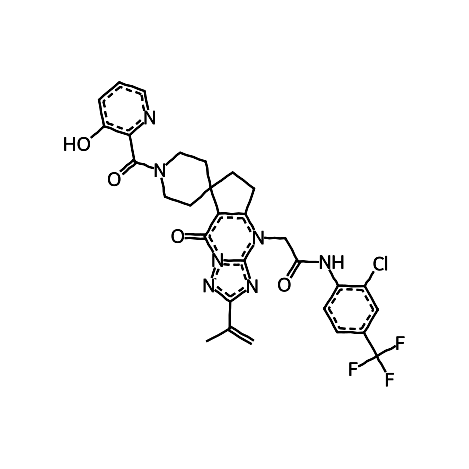 C=C(C)c1nc2n(CC(=O)Nc3ccc(C(F)(F)F)cc3Cl)c3c(c(=O)n2n1)C1(CC3)CCN(C(=O)c2ncccc2O)CC1